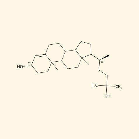 C[C@@H](CCC(O)(C(F)(F)F)C(F)(F)F)C1CCC2C3CCC4=C[C@@H](O)CCC4(C)C3CCC21C